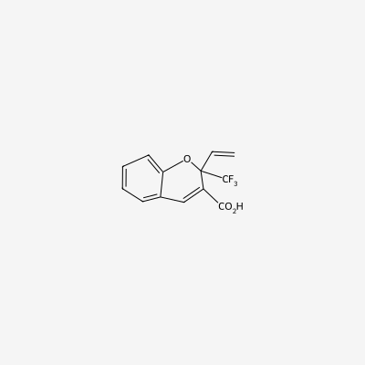 C=CC1(C(F)(F)F)Oc2ccccc2C=C1C(=O)O